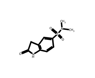 CN(C)S(=O)(=O)c1ccc2c(c1)CC(=O)N2